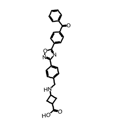 O=C(c1ccccc1)c1ccc(-c2nc(-c3ccc(CNC4CC(C(=O)O)C4)cc3)no2)cc1